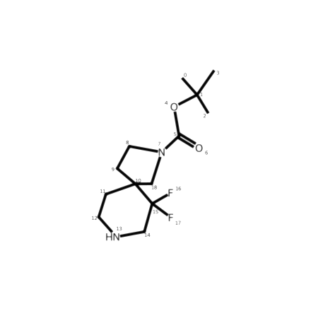 CC(C)(C)OC(=O)N1CCC2(CCNCC2(F)F)C1